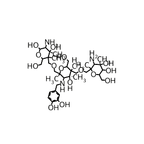 CC1(COCC2(C)C(CO)OC(C)(COCC3(C)C(CO)OC(O)C(N)[C@]3(C)O)C(NCc3ccc(O)c(O)c3)[C@]2(C)O)OC(CO)C(O)[C@@](C)(O)C1N